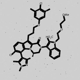 COCCOCCn1c(C(=O)O)c(N2C[C@@H](C)n3c(c(CCCOc4cc(C)c(Cl)c(C)c4)c4ccc(Cl)c(-c5c(C)nn(C)c5C)c43)C2=O)c2ccccc21